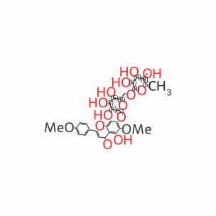 COc1ccc(-c2cc(=O)c3c(O)c(OC)c(O[C@@H]4O[C@H](CO[C@@H]5O[C@@H](C)[C@H](O)[C@@H](O)[C@H]5O)[C@@H](O)[C@H](O)[C@H]4O)cc3o2)cc1